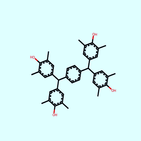 Cc1cc(C(c2ccc(C(c3cc(C)c(O)c(C)c3)c3cc(C)c(O)c(C)c3)cc2)c2cc(C)c(O)c(C)c2)cc(C)c1O